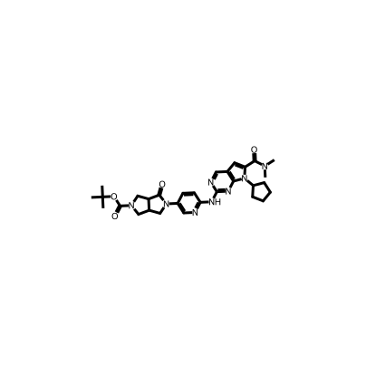 CN(C)C(=O)c1cc2cnc(Nc3ccc(N4CC5CN(C(=O)OC(C)(C)C)CC5C4=O)cn3)nc2n1C1CCCC1